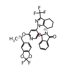 C[C@H](Oc1cc(-n2nc(C(F)(F)F)c3c2[C@@H](N2C(=O)c4ccccc4C2=O)CCC3)ccn1)c1ccc2c(c1)OC(F)(F)O2